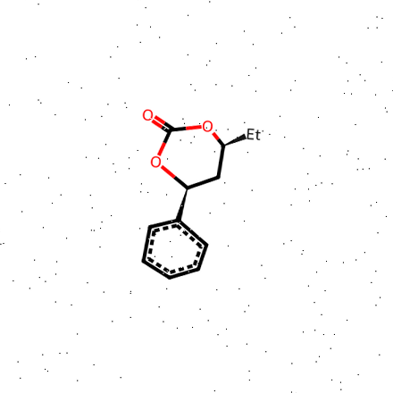 CC[C@H]1C[C@@H](c2ccccc2)OC(=O)O1